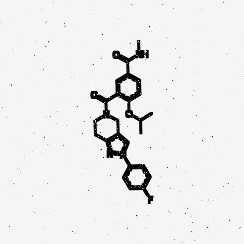 CNC(=O)c1ccc(OC(C)C)c(C(=O)N2CCc3nn(-c4ccc(F)cc4)cc3C2)c1